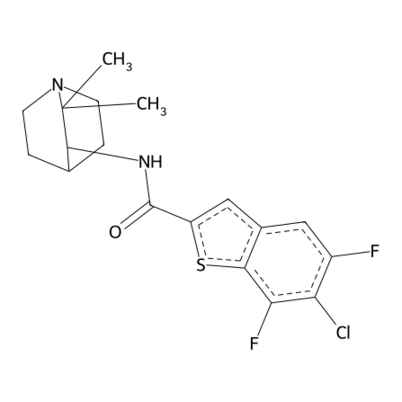 CC1(C)C(NC(=O)c2cc3cc(F)c(Cl)c(F)c3s2)C2CCN1CC2